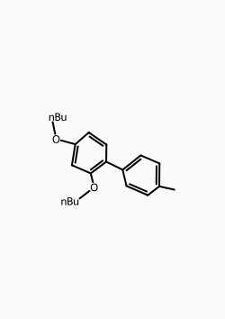 CCCCOc1ccc(-c2ccc(C)cc2)c(OCCCC)c1